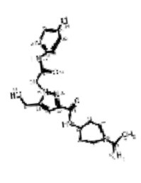 CC(C)N1CCC(NC(=O)c2cc(CO)n(CC(=O)Nc3ccc(Cl)cn3)n2)CC1